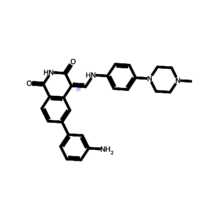 CN1CCN(c2ccc(N/C=C3\C(=O)NC(=O)c4ccc(-c5cccc(N)c5)cc43)cc2)CC1